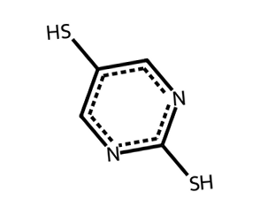 Sc1cnc(S)nc1